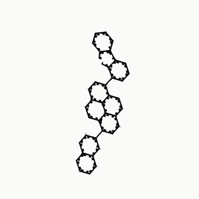 c1ccc2cc(-c3ccc4ccc5c(-c6cccc7c6sc6ccccc67)ccc6ccc3c4c65)ccc2c1